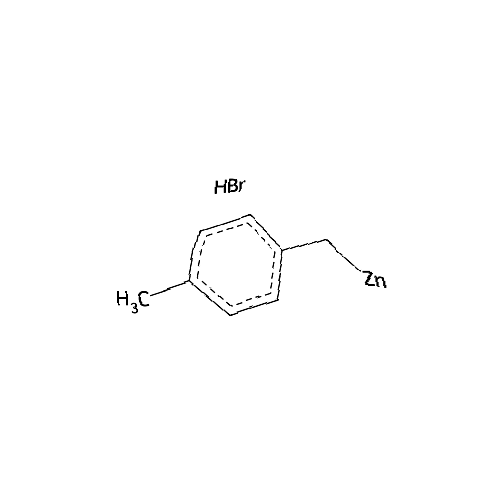 Br.Cc1ccc([CH2][Zn])cc1